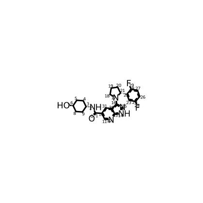 O=C(N[C@H]1CC[C@H](O)CC1)c1cnc2[nH]nc(N3CCC[C@@H]3c3cc(F)ccc3F)c2c1